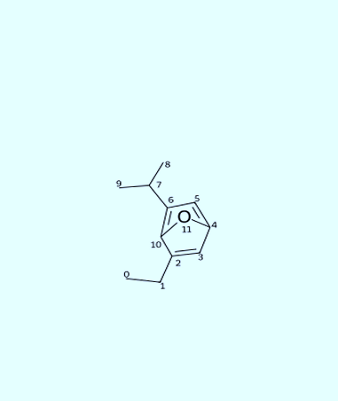 CCc1cc2cc(C(C)C)c1o2